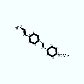 CCC/C=C/[C@H]1CC[C@H](CC[C@H]2CC[C@H](OC)CC2)CC1